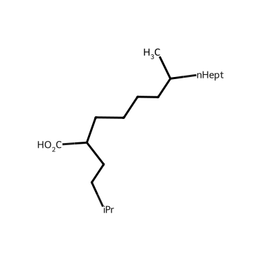 CCCCCCCC(C)CCCCC(CCC(C)C)C(=O)O